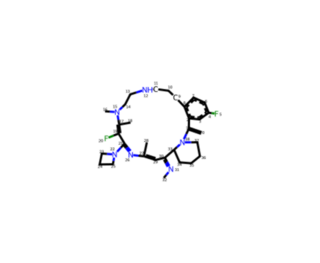 C=C1c2cc(F)ccc2CCCNCCN(C)/C(C)=C(F)/C(N2CCC2)=N\C(C)=C\C(=N/C)C2CCCCN12